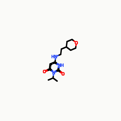 CC(C)n1c(=O)cc(NCCC2CCOCC2)[nH]c1=O